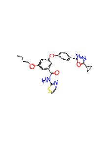 C=CCCOc1cc(Oc2ccc(-c3nnc(C4CC4)o3)cc2)cc(C(=O)Nc2nccs2)c1